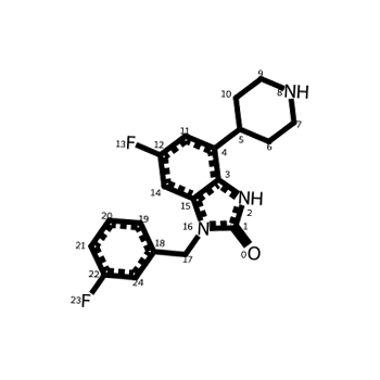 O=c1[nH]c2c(C3CCNCC3)cc(F)cc2n1Cc1cccc(F)c1